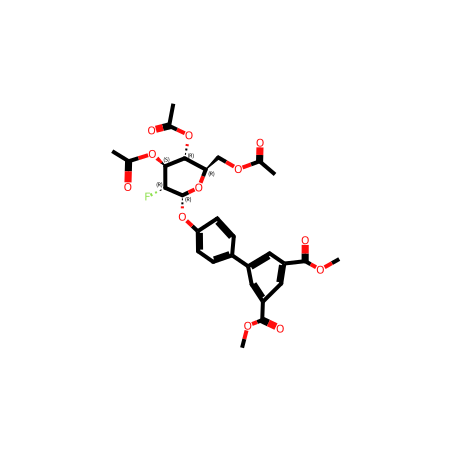 COC(=O)c1cc(C(=O)OC)cc(-c2ccc(O[C@H]3O[C@H](COC(C)=O)[C@@H](OC(C)=O)[C@H](OC(C)=O)[C@H]3F)cc2)c1